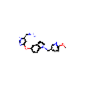 COc1ccc(Cn2ccc3cc(Oc4cc(CN)ncn4)ccc32)cn1